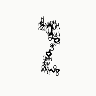 CC(C)[C@H](NC(=O)CCN1C(=O)C=CC1=O)C(=O)N[C@@H](C)C(=O)Nc1ccc(COC(=O)Nc2cccc(C(=O)N[C@@H]3[C@@H](O)[C@H](O)[C@@H](Nc4ncnc5nc[nH]c45)O[C@H]3C)c2)cc1